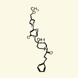 COCC1CN(c2cc(=O)n(CC3(O)CCN(C(=O)CCc4ccccc4)CC3)cn2)C1